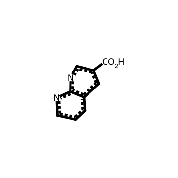 O=C(O)c1cnc2ncccc2c1